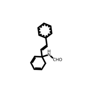 O=CNC1(C=Cc2ccccc2)C=CC=CC1